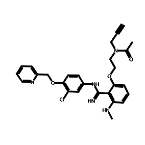 C#CCN(CCOc1cccc(NC)c1C(=N)Nc1ccc(OCc2ccccn2)c(Cl)c1)C(C)=O